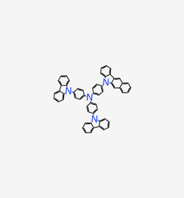 c1ccc2cc3c(cc2c1)c1ccccc1n3-c1ccc(N(c2ccc(-n3c4ccccc4c4ccccc43)cc2)c2ccc(-n3c4ccccc4c4ccccc43)cc2)cc1